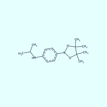 CC(C)Nc1ccc(B2OC(C)(C)C(C)(C)O2)cc1